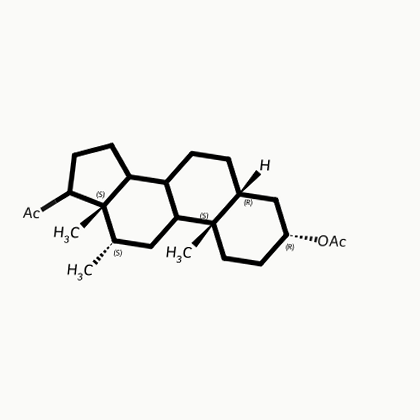 CC(=O)O[C@@H]1CC[C@]2(C)C3C[C@H](C)[C@]4(C)C(C(C)=O)CCC4C3CC[C@@H]2C1